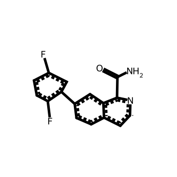 NC(=O)c1n[c]cc2ccc(-c3cc(F)ccc3F)cc12